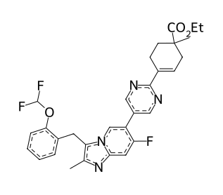 CCOC(=O)C1(C)CC=C(c2ncc(-c3cn4c(Cc5ccccc5OC(F)F)c(C)nc4cc3F)cn2)CC1